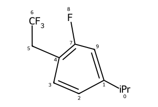 CC(C)c1ccc(CC(F)(F)F)c(F)c1